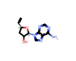 C=C[C@@H]1CC(O)[C@H](n2cnc3c(N)ncnc32)O1